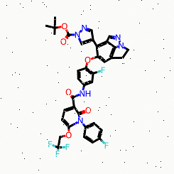 CC(C)(C)OC(=O)n1cc(-c2c(Oc3ccc(NC(=O)c4ccc(OCC(F)(F)F)n(-c5ccc(F)cc5)c4=O)cc3F)cc3c4c2cnn4CC3)cn1